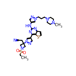 CCS(=O)(=O)N1CC(CC#N)(n2cc(-c3nc(Nc4cnn(CCCN5CCN(C)CC5)c4)nc4ccsc34)cn2)C1